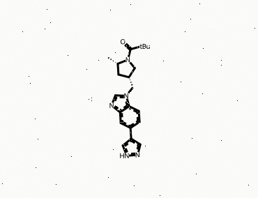 C[C@H]1C[C@@H](Cn2cnc3cc(-c4cn[nH]c4)ccc32)CN1C(=O)C(C)(C)C